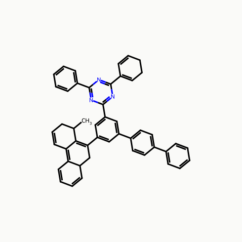 CC1CC=CC2=C3C=CC=CC3CC(c3cc(-c4ccc(-c5ccccc5)cc4)cc(-c4nc(C5=CCCC=C5)nc(-c5ccccc5)n4)c3)=C21